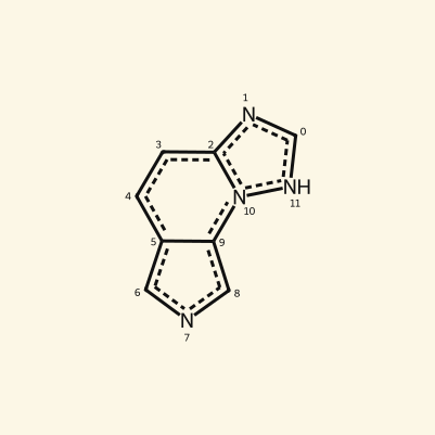 c1nc2ccc3cncc-3n2[nH]1